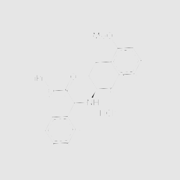 COc1cccc2c1CC[C@H](NC(C(=O)OC(C)C)c1ccccc1)C2.Cl